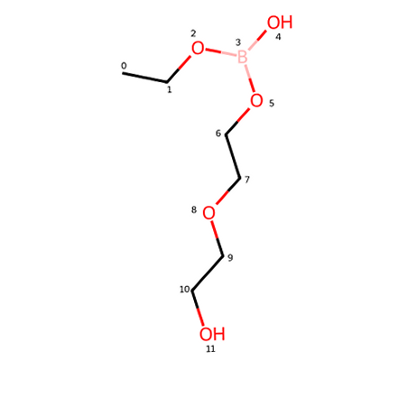 CCOB(O)OCCOCCO